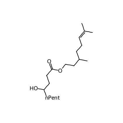 CCCCCC(O)CCC(=O)OCCC(C)CCC=C(C)C